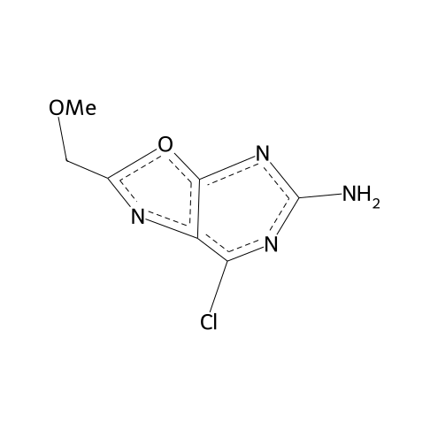 COCc1nc2c(Cl)nc(N)nc2o1